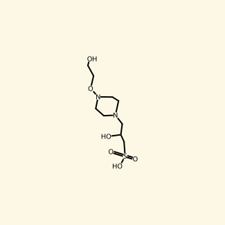 O=S(=O)(O)CC(O)CN1CCN(OCCO)CC1